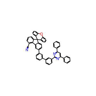 N#Cc1cccc2c1-c1cc(-c3cccc(-c4cccc(-c5nc(-c6ccccc6)cc(-c6ccccc6)n5)c4)c3)ccc1C21c2ccccc2Oc2ccccc21